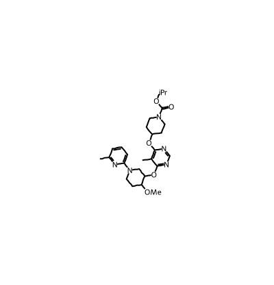 COC1CCN(c2cccc(C)n2)CC1Oc1ncnc(OC2CCN(C(=O)OC(C)C)CC2)c1C